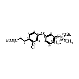 CCOC(=O)CCc1ccc(Oc2cccc(O[Si](C)(C)C(C)(C)C)c2)cc1Cl